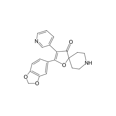 O=C1C(c2cccnc2)=C(c2ccc3c(c2)OCO3)OC12CCNCC2